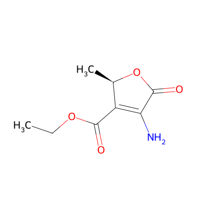 CCOC(=O)C1=C(N)C(=O)O[C@@H]1C